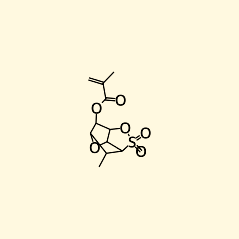 C=C(C)C(=O)OC1C2OC3C1OS(=O)(=O)C3C2C